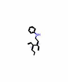 C=CC(=C/CC)/C(C=C)=C\CNc1ccccc1